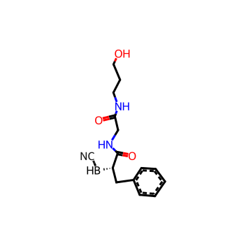 N#CB[C@@H](Cc1ccccc1)C(=O)NCC(=O)NCCCO